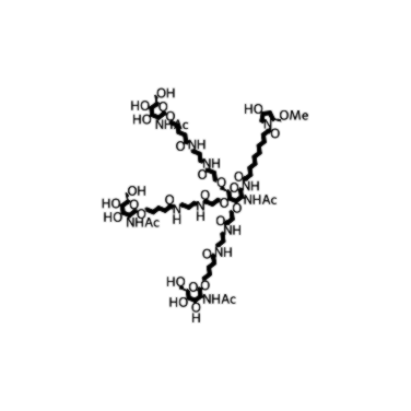 COC[C@@H]1C[C@@H](O)CN1C(=O)CCCCCCCCC(=O)N[C@@H]1O[C@H](COCCC(=O)NCCCNC(=O)CCCCO[C@@H]2O[C@H](CO)[C@H](O)[C@H](O)[C@H]2NC(C)=O)[C@@H](OCCC(=O)NCCCNC(=O)CCCCO[C@@H]2O[C@H](CO)[C@H](O)[C@H](O)[C@H]2NC(C)=O)[C@H](OCCC(=O)NCCCNC(=O)CCCCO[C@@H]2O[C@H](CO)[C@H](O)[C@H](O)[C@H]2NC(C)=O)[C@H]1NC(C)=O